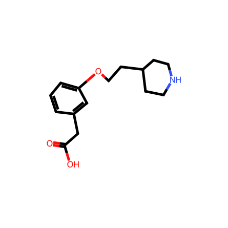 O=C(O)Cc1cccc(OCCC2CCNCC2)c1